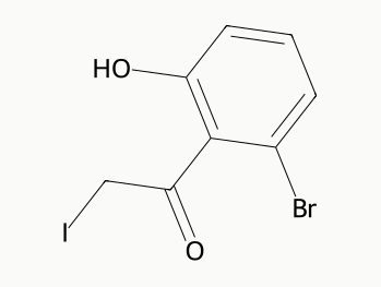 O=C(CI)c1c(O)cccc1Br